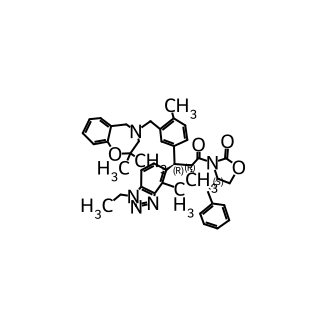 CCn1nnc2c(C)c([C@@H](c3ccc(C)c(CN4Cc5ccccc5OC(C)(C)C4)c3)[C@@H](C)C(=O)N3C(=O)OC[C@@H]3Cc3ccccc3)ccc21